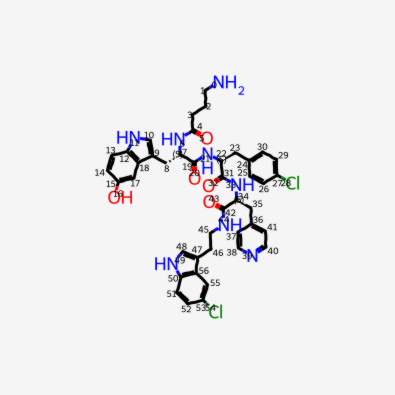 NCCCC(=O)N[C@@H](Cc1c[nH]c2ccc(O)cc12)C(=O)N[C@@H](Cc1ccc(Cl)cc1)C(=O)N[C@@H](Cc1ccncc1)C(=O)NCCc1c[nH]c2ccc(Cl)cc12